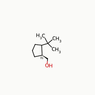 CC(C)(C)C1CCC[C@@H]1CO